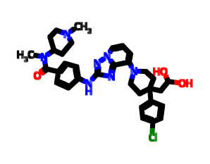 CN1CCC(N(C)C(=O)c2ccc(Nc3nc4c(N5CCC(CC(O)O)(c6ccc(Cl)cc6)CC5)cccn4n3)cc2)CC1